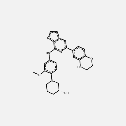 COc1cc(Nc2nc(-c3ccc4c(c3)NCCO4)cn3ccnc23)ccc1N1CCC[C@@H](O)C1